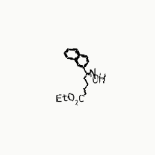 CCOC(=O)CCCCC(=NO)c1ccc2ccccc2c1